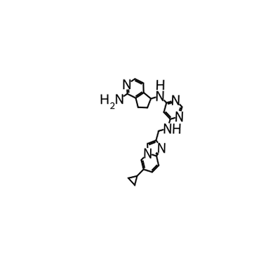 Nc1nccc2c1CCC2Nc1cc(NCc2cn3cc(C4CC4)ccc3n2)ncn1